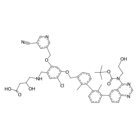 Cc1c(COc2cc(OCc3cncc(C#N)c3)c(CNCC(O)CC(=O)O)cc2Cl)cccc1-c1cccc(-c2ccc3ncnc(N(CCO)C(=O)OC(C)(C)C)c3c2)c1C